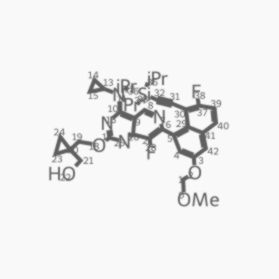 COCOc1cc(-c2ncc3c(N(C)C4CC4)nc(OCC4(CO)CC4)nc3c2F)c2c(C#C[Si](C(C)C)(C(C)C)C(C)C)c(F)ccc2c1